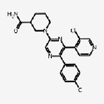 NC(=O)C1CCCN(c2cnc(-c3ccc(Cl)cc3)c(-c3ccncc3Cl)n2)C1